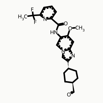 COc1cc2nc([C@H]3CC[C@H](C=O)CC3)cn2cc1NC(=O)c1cccc(C(C)(F)F)n1